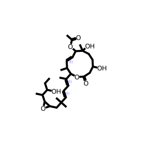 CCC(O)C(C)C1OC1CC(C)(C)/C=C/C=C(\C)C1OC(=O)CC(O)CCC(C)(O)C(OC(C)=O)/C=C/C1C